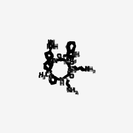 Cc1ccc(-c2ccc(-c3nnn[nH]3)cc2)c2c1Sc1ncccc1CN[C@@H](CCCN)C(=O)N[C@@H](CCCCN)C(=O)N(C)[C@@H](Cc1c[nH]c3ccccc13)C(=O)NC2